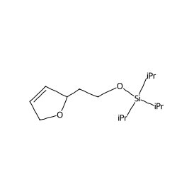 CC(C)[Si](OCCC1C=CCO1)(C(C)C)C(C)C